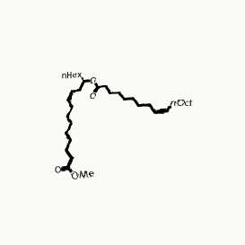 CCCCCCCC/C=C\CCCCCCCC(=O)O[C@@H](C/C=C\CCCCCCCC(=O)OC)CCCCCC